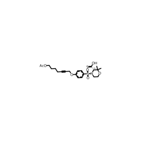 CC(=O)OCCCCC#CCOc1ccc(S(=O)(=O)N2CCOC(C)(C)[C@H]2C(O)=S)cc1